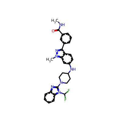 CNC(=O)c1cccc(-c2nn(C)c3cc(NC4CCN(c5nc6ccccc6n5C(F)F)CC4)ccc23)c1